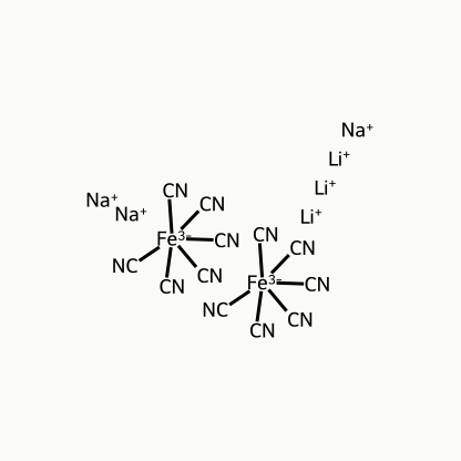 N#[C][Fe-3]([C]#N)([C]#N)([C]#N)([C]#N)[C]#N.N#[C][Fe-3]([C]#N)([C]#N)([C]#N)([C]#N)[C]#N.[Li+].[Li+].[Li+].[Na+].[Na+].[Na+]